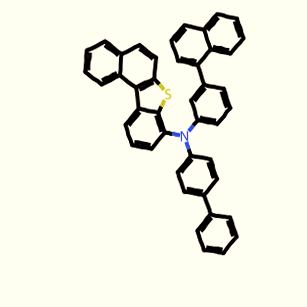 c1ccc(-c2ccc(N(c3cccc(-c4cccc5ccccc45)c3)c3cccc4c3sc3ccc5ccccc5c34)cc2)cc1